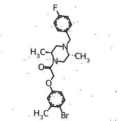 Cc1cc(OCC(=O)N2C[C@@H](C)N(Cc3ccc(F)cc3)C[C@@H]2C)ccc1Br